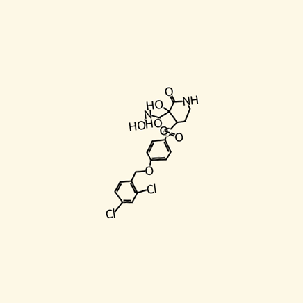 O=C(NO)C1(O)C(=O)NCCC1S(=O)(=O)c1ccc(OCc2ccc(Cl)cc2Cl)cc1